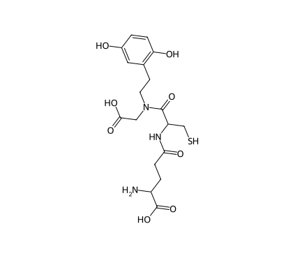 NC(CCC(=O)NC(CS)C(=O)N(CCc1cc(O)ccc1O)CC(=O)O)C(=O)O